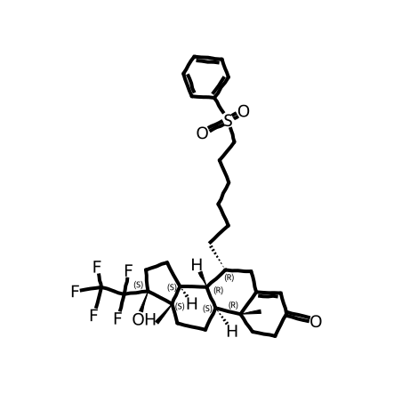 C[C@]12CCC(=O)C=C1C[C@@H](CCCCCCS(=O)(=O)c1ccccc1)[C@@H]1[C@@H]2CC[C@@]2(C)[C@H]1CC[C@@]2(O)C(F)(F)C(F)(F)F